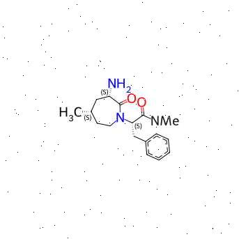 CNC(=O)[C@H](Cc1ccccc1)N1CC[C@H](C)C[C@H](N)C1=O